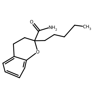 CCCCCC1(C(N)=O)CCc2ccccc2O1